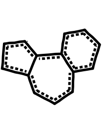 [c]1ccc2cccc3ccccc3c1-2